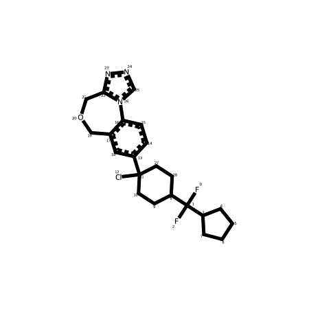 FC(F)(C1CCCC1)C1CCC(Cl)(c2ccc3c(c2)COCc2nncn2-3)CC1